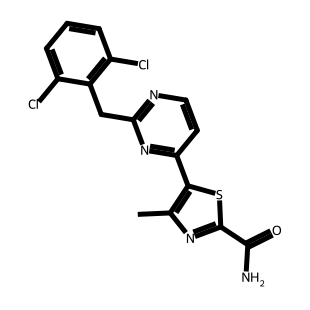 Cc1nc(C(N)=O)sc1-c1ccnc(Cc2c(Cl)cccc2Cl)n1